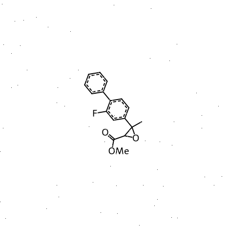 COC(=O)C1OC1(C)c1ccc(-c2ccccc2)c(F)c1